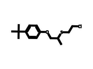 CC(COc1ccc(C(C)(C)C)cc1)SCCCl